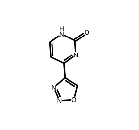 O=c1nc(-c2conn2)cc[nH]1